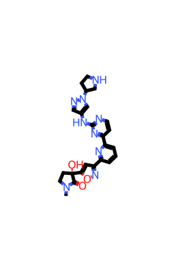 CN1CC[C@@](O)(c2cc(-c3cccc(-c4ccnc(Nc5cnn(C6CCNC6)c5)n4)n3)no2)C1=O